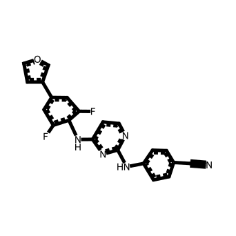 N#Cc1ccc(Nc2nccc(Nc3c(F)cc(-c4ccoc4)cc3F)n2)cc1